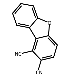 N#Cc1ccc2oc3ccccc3c2c1C#N